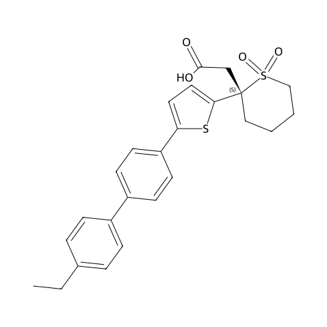 CCc1ccc(-c2ccc(-c3ccc([C@@]4(CC(=O)O)CCCCS4(=O)=O)s3)cc2)cc1